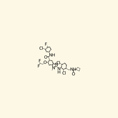 Cn1c(Nc2c(Cl)ccc(CNC(=O)C3CCC3)c2Cl)nc2cc(C(=O)Nc3ccc(F)c(Cl)c3)c(OCC(F)F)cc21